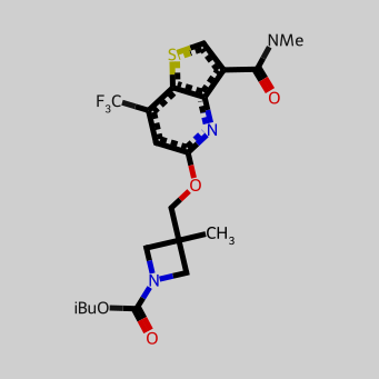 CNC(=O)c1csc2c(C(F)(F)F)cc(OCC3(C)CN(C(=O)OCC(C)C)C3)nc12